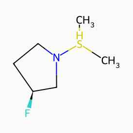 C[SH](C)N1CC[C@H](F)C1